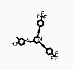 Cc1cc(SCc2cc(C#Cc3ccc(C(F)(F)F)cc3)nc(C#Cc3ccc(C(F)(F)F)cc3)c2)ccc1[O]